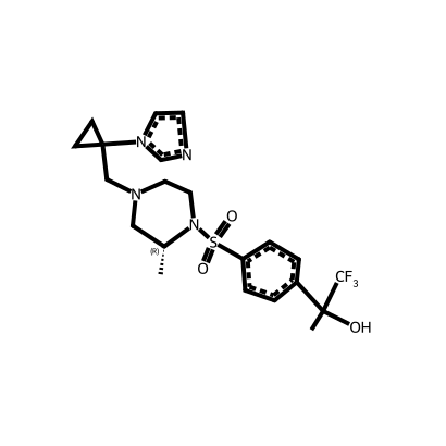 C[C@@H]1CN(CC2(n3ccnc3)CC2)CCN1S(=O)(=O)c1ccc(C(C)(O)C(F)(F)F)cc1